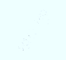 Cc1cccc(C2(C(=O)N3CCC(C4CCN(c5ccc(C(=O)N(C)C)c(Cl)c5)CC4)CC3)CCC2)c1